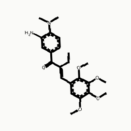 CC/C(=C\c1cc(OC)c(OC)c(OC)c1OC)C(=O)c1ccc(N(C)C)c(N)c1